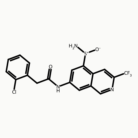 N[S+]([O-])c1cc(NC(=O)Cc2ccccc2Cl)cc2cnc(C(F)(F)F)cc12